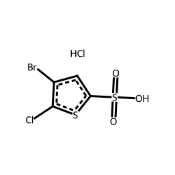 Cl.O=S(=O)(O)c1cc(Br)c(Cl)s1